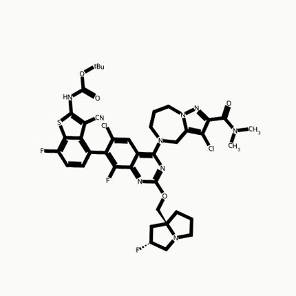 CN(C)C(=O)c1nn2c(c1Cl)CN(c1nc(OC[C@@]34CCCN3C[C@H](F)C4)nc3c(F)c(-c4ccc(F)c5sc(NC(=O)OC(C)(C)C)c(C#N)c45)c(Cl)cc13)CCC2